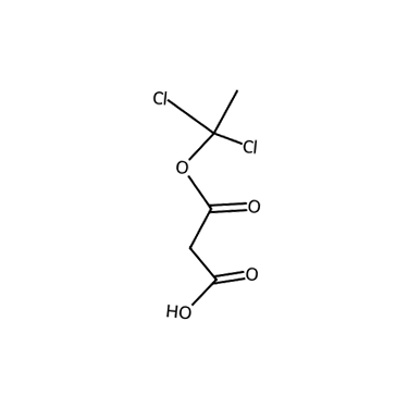 CC(Cl)(Cl)OC(=O)CC(=O)O